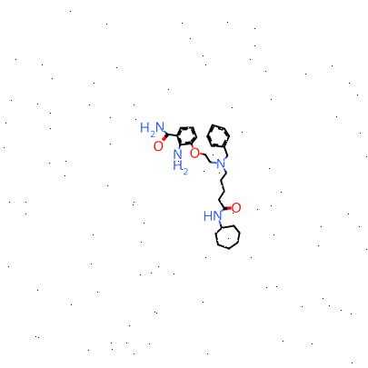 NC(=O)c1cccc(OCCN(CCCCC(=O)NC2CCCCCC2)Cc2ccccc2)c1N